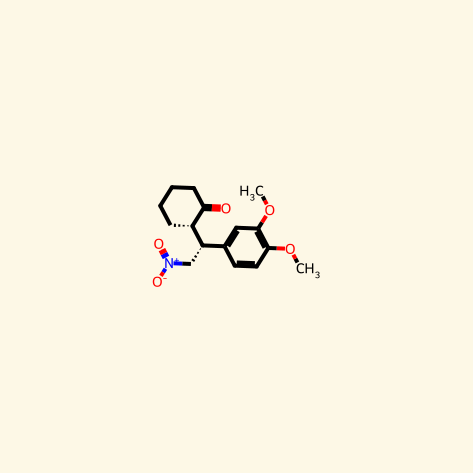 COc1ccc([C@H](C[N+](=O)[O-])[C@@H]2CCCCC2=O)cc1OC